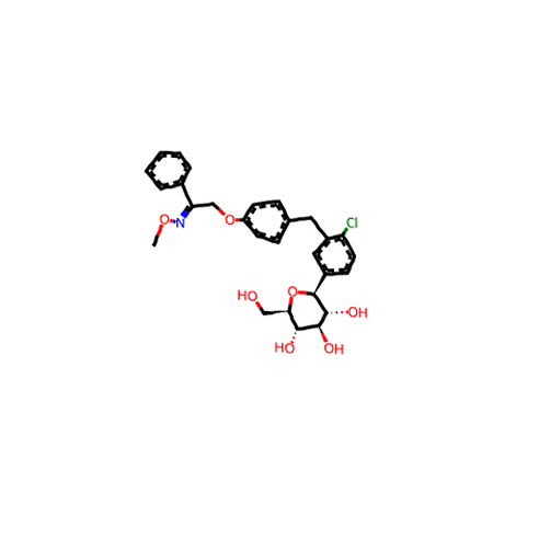 CON=C(COc1ccc(Cc2cc([C@@H]3O[C@H](CO)[C@@H](O)[C@H](O)[C@H]3O)ccc2Cl)cc1)c1ccccc1